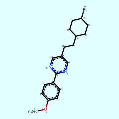 CCCCCCCCCCOc1ccc(-c2ncc(CCC3CCC(CC)CC3)cn2)cc1